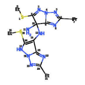 CCSC1=Nn2nc(C(C)C)nc2C1(N)Nc1c(SCC)[nH]n2nc(CC)nc12